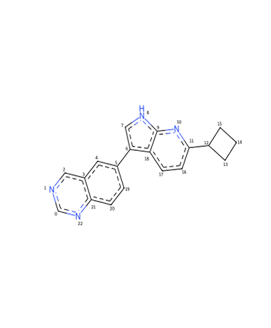 c1ncc2cc(-c3c[nH]c4nc(C5CCC5)ccc34)ccc2n1